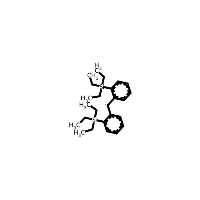 CC[Si](CC)(CC)c1ccccc1[C]c1ccccc1[Si](CC)(CC)CC